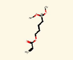 C=CC(=O)OCCCC[SiH](OCCC)OCCC